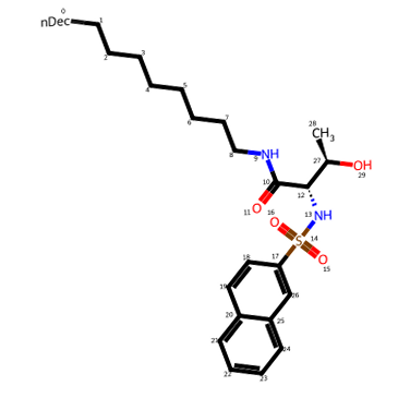 CCCCCCCCCCCCCCCCCCNC(=O)[C@@H](NS(=O)(=O)c1ccc2ccccc2c1)[C@@H](C)O